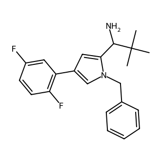 CC(C)(C)C(N)c1cc(-c2cc(F)ccc2F)cn1Cc1ccccc1